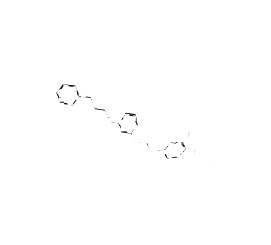 Bc1ccc(OCCc2cccc(OCCCc3ccccc3)c2)cc1F